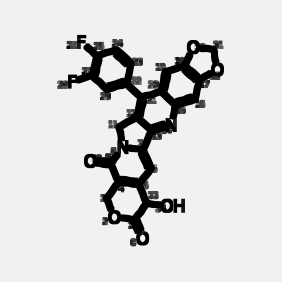 O=C1OCc2c(cc3n(c2=O)Cc2c-3nc3cc4c(cc3c2-c2ccc(F)c(F)c2)OCO4)C1O